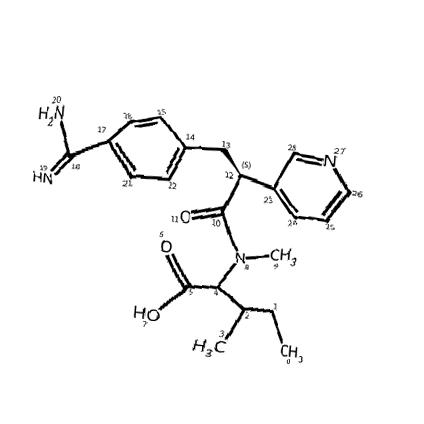 CCC(C)C(C(=O)O)N(C)C(=O)[C@@H](Cc1ccc(C(=N)N)cc1)c1cccnc1